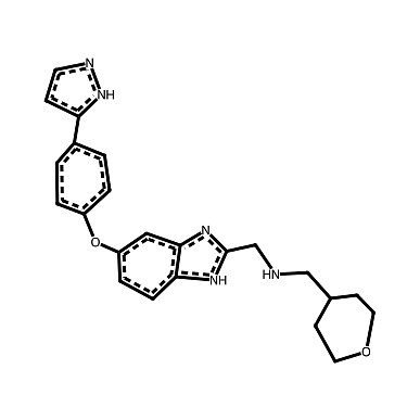 c1cc(-c2ccc(Oc3ccc4[nH]c(CNCC5CCOCC5)nc4c3)cc2)[nH]n1